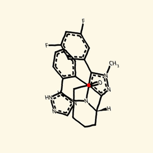 Cn1nc2c(c1-c1cc(F)cc(F)c1)C[C@H]1CCC[C@@H]2N1C(=O)c1ccccc1-c1ncn[nH]1